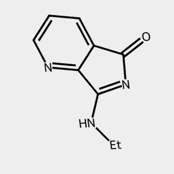 CCNC1=NC(=O)c2cccnc21